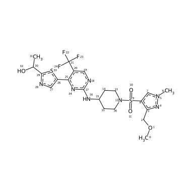 COCc1nn(C)cc1S(=O)(=O)N1CCC(Nc2ncc(C(F)(F)F)c(-c3cnc(C(C)O)s3)n2)CC1